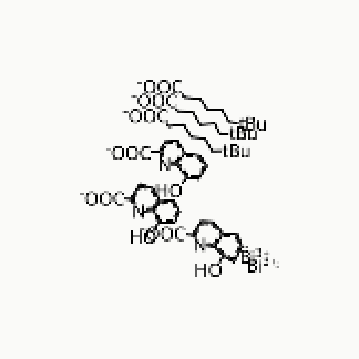 CC(C)(C)CCCCCC(=O)[O-].CC(C)(C)CCCCCC(=O)[O-].CC(C)(C)CCCCCC(=O)[O-].O=C([O-])c1ccc2cccc(O)c2n1.O=C([O-])c1ccc2cccc(O)c2n1.O=C([O-])c1ccc2cccc(O)c2n1.[Bi+3].[Bi+3]